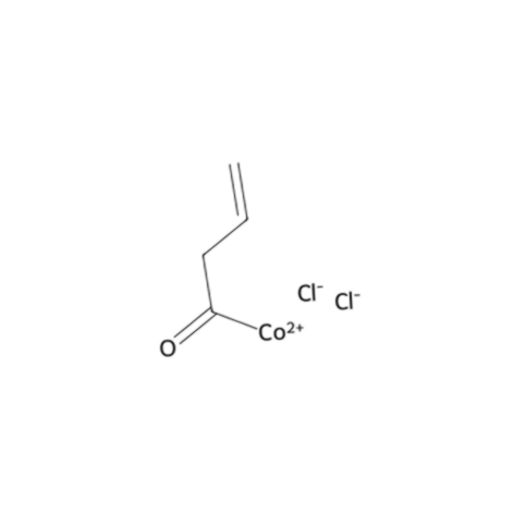 C=CC[C](=O)[Co+2].[Cl-].[Cl-]